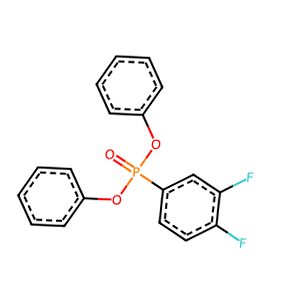 O=P(Oc1ccccc1)(Oc1ccccc1)c1ccc(F)c(F)c1